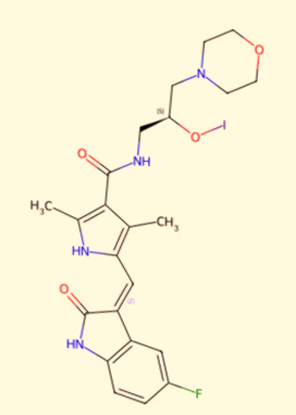 Cc1[nH]c(/C=C2\C(=O)Nc3ccc(F)cc32)c(C)c1C(=O)NC[C@@H](CN1CCOCC1)OI